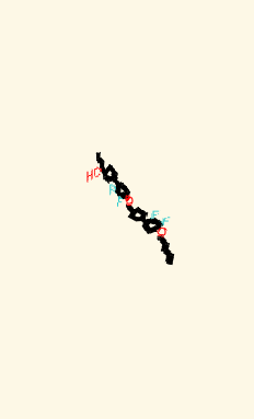 C=CCCCOC1=CCC(C2CCC(COc3ccc(C4CCC(C(O)CCC)CC4)c(F)c3F)CC2)C(F)=C1F